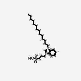 CCCCCCCCCCCCCCn1c[n+](CCCS(=O)(=O)O)c2ccccc21